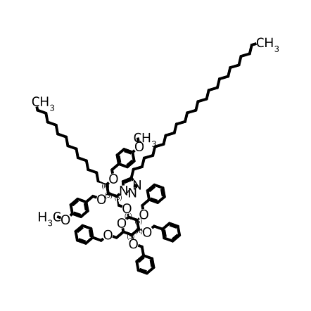 CCCCCCCCCCCCCCCCCCCCCCCCc1cn([C@@H](CO[C@H]2OC(COCc3ccccc3)[C@H](OCc3ccccc3)[C@@H](OCc3ccccc3)[C@@H]2OCc2ccccc2)[C@H](OCc2ccc(OC)cc2)[C@@H](CCCCCCCCCCCCCC)OCc2ccc(OC)cc2)nn1